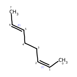 C/C=C\CC/C=C/C